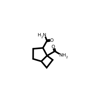 NC(=O)C1CCC2CCC21C(N)=O